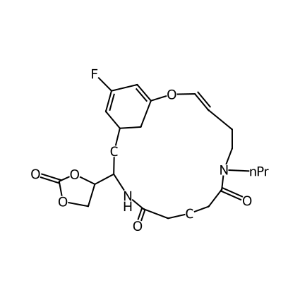 CCCN1CC/C=C\OC2=CC(F)=CC(C2)CC(C2COC(=O)O2)NC(=O)CCCC1=O